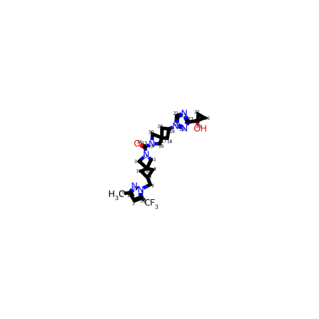 Cc1cc(C(F)(F)F)n(CC2CC3(C2)CN(C(=O)N2CC4(CC(n5cnc(C6(O)CC6)n5)C4)C2)C3)n1